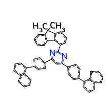 CC1(C)c2ccccc2-c2c(-c3nc(-c4ccc(-c5cccc6ccccc56)cc4)cc(-c4ccc(-c5cccc6ccccc56)cc4)n3)cccc21